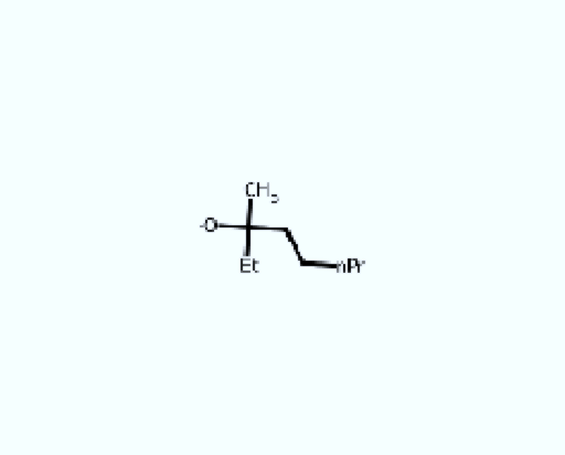 CCCCCC(C)([O])CC